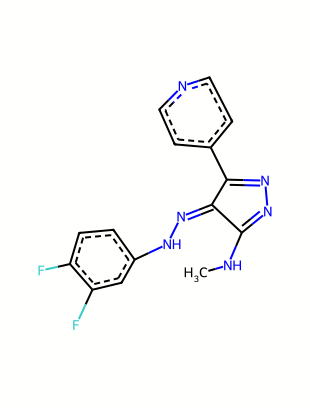 CNC1=NN=C(c2ccncc2)C1=NNc1ccc(F)c(F)c1